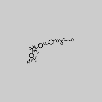 COCCCOC(=O)COCC1CCC(COc2ccc(N3C(=S)N(c4ccc(C#N)c(C(F)(F)F)c4)C(=O)C3(C)C)cc2)CC1